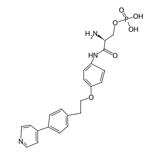 N[C@@H](COP(=O)(O)O)C(=O)Nc1ccc(OCCc2ccc(-c3ccncc3)cc2)cc1